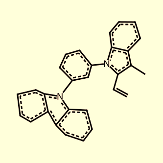 C=Cc1c(C)c2ccccc2n1-c1cccc(-n2c3ccccc3c3ccccc32)c1